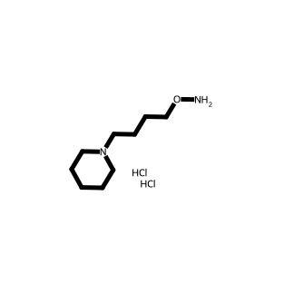 Cl.Cl.NOCCCCN1CCCCC1